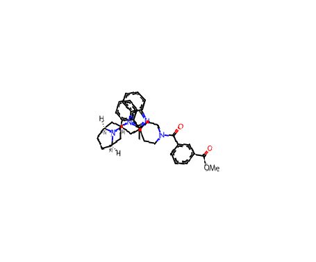 COC(=O)c1cccc(C(=O)N2CCC(CCN3[C@@H]4CC[C@H]3C[C@@H](n3c(C)nc5ccccc53)C4)(c3ccccc3C)CC2)c1